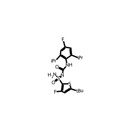 CC(C)c1cc(F)cc(C(C)C)c1NC(=O)N=S(N)(=O)c1sc(C(C)(C)C)cc1F